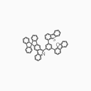 c1ccc2c(c1)-c1ccccc1C21c2ccccc2-c2cc3c(-c4cc(-c5cccc6c5oc5ccccc56)cc(-c5cccc6c5sc5ccccc56)c4)nc4ccccc4c3cc21